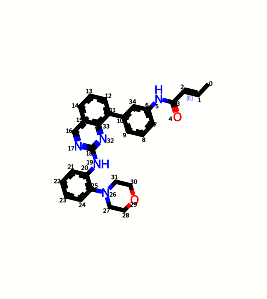 C/C=C/C(=O)Nc1cccc(-c2cccc3cnc(Nc4ccccc4N4CCOCC4)nc23)c1